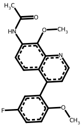 COc1ccc(F)cc1-c1ccnc2c(OC)c(NC(C)=O)ccc12